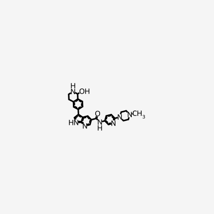 CN1CCN(c2ccc(NC(=O)c3cnc4[nH]cc(-c5ccc6c(c5)CCNC6O)c4c3)cn2)CC1